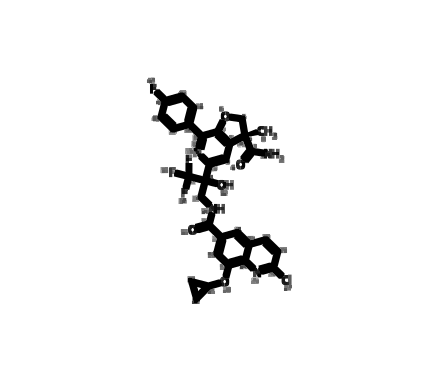 C[C@]1(C(N)=O)COc2c1cc(C(O)(CNC(=O)c1cc(OC3CC3)c3nc(Cl)ccc3c1)C(F)(F)F)nc2-c1ccc(F)cc1